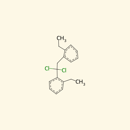 CCc1ccccc1CC(Cl)(Cl)c1ccccc1CC